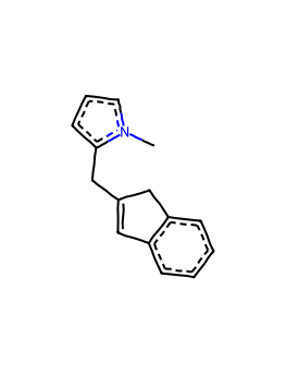 Cn1cccc1CC1=Cc2ccccc2C1